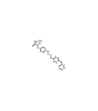 CO[C@@H](Cc1ccc(OCCOc2ccc(Oc3ccccc3)cc2)cc1)C(C)=O